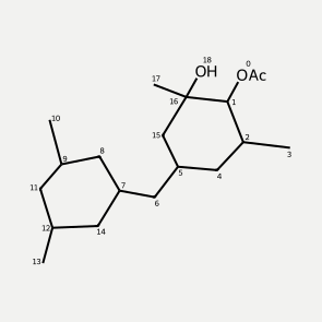 CC(=O)OC1C(C)CC(CC2CC(C)CC(C)C2)CC1(C)O